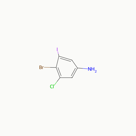 Nc1cc(Cl)c(Br)c(I)c1